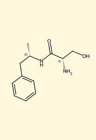 C[C@@H](Cc1ccccc1)NC(=O)[C@@H](N)CO